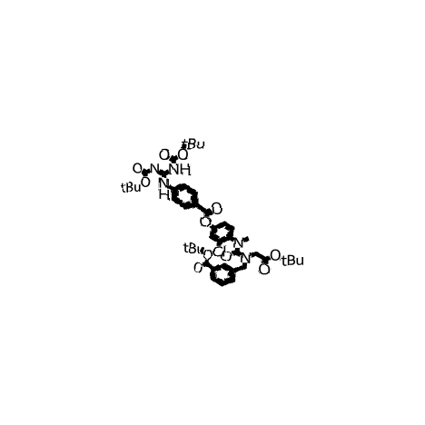 CN(C(=O)N(CC(=O)OC(C)(C)C)Cc1cccc(C(=O)OC(C)(C)C)c1)c1ccc(OC(=O)c2ccc(NC(=NC(=O)OC(C)(C)C)NC(=O)OC(C)(C)C)cc2)cc1Cl